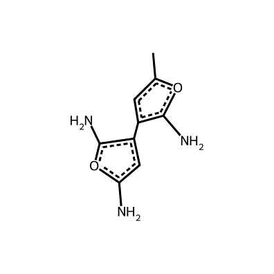 Cc1cc(-c2cc(N)oc2N)c(N)o1